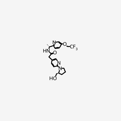 C[C@@H](NC(=O)Cc1ccc(N2CCC[C@H]2CO)nc1)c1ccc(OCC(F)(F)F)cn1